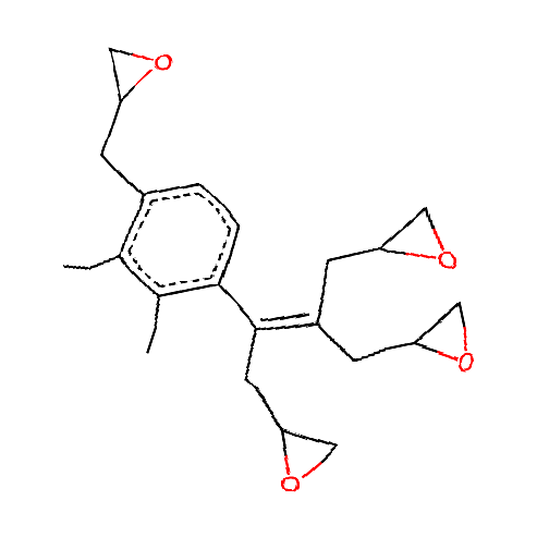 Cc1c(CC2CO2)ccc(C(CC2CO2)=C(CC2CO2)CC2CO2)c1C